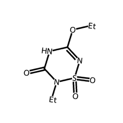 CCOC1=NS(=O)(=O)N(CC)C(=O)N1